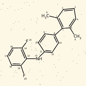 Cc1cccc(C)c1-c1ccc(Nc2c(F)cccc2F)cc1